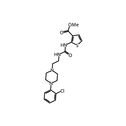 COC(=O)c1ccsc1NC(=O)NCCN1CCN(c2ccccc2Cl)CC1